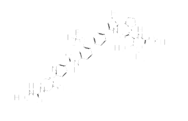 CNC(=O)N1CCN(c2ccc(C(=O)Nc3ccc(-c4ccc(-c5c[nH]c([C@@H]6CCCN6C(=O)[C@@H](NC(=O)OC)C(C)C)n5)cc4)c(OC(F)(F)F)c3)cn2)[C@H](C)C1